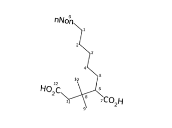 CCCCCCCCCCCCCCC(C(=O)O)C(C)(C)CC(=O)O